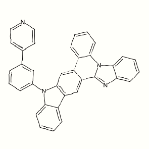 c1cc(-c2ccncc2)cc(-n2c3ccccc3c3cc4c(cc32)c2ccccc2n2c3ccccc3nc42)c1